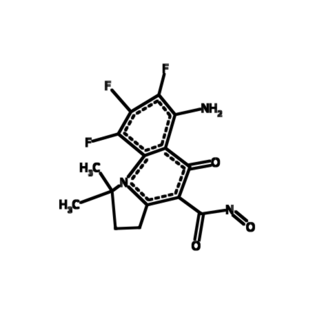 CC1(C)CCc2c(C(=O)N=O)c(=O)c3c(N)c(F)c(F)c(F)c3n21